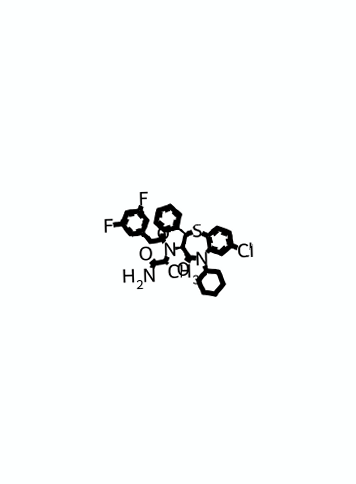 C[C@@H](C(N)=O)N(C(=O)Cc1cc(F)cc(F)c1)[C@@H]1C(=O)N(C2CCCCC2)c2cc(Cl)ccc2S[C@@H]1c1ccccc1